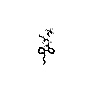 CCCCc1ccccc1-c1ccccc1C(=O)N[C@@H](CCS(=O)(=O)O)C(=O)OCC